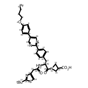 CC(C)CCCOc1ccc(-c2cnc(-c3ccc(C[C@H](NC(=O)Cc4csc(C(C)(C)C)n4)C(=O)N4CC(C(=O)O)C4)cc3)nc2)cc1